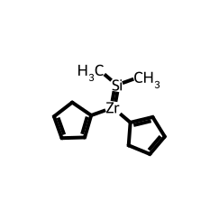 C[Si](C)=[Zr]([C]1=CC=CC1)[C]1=CC=CC1